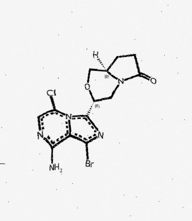 Nc1ncc(Cl)n2c([C@H]3CN4C(=O)CC[C@@H]4CO3)nc(Br)c12